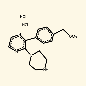 COCc1ccc(-c2nccnc2N2CCNCC2)cc1.Cl.Cl